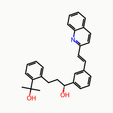 CC(C)(O)c1ccccc1CC[C@H](O)c1cccc(/C=C/c2ccc3ccccc3n2)c1